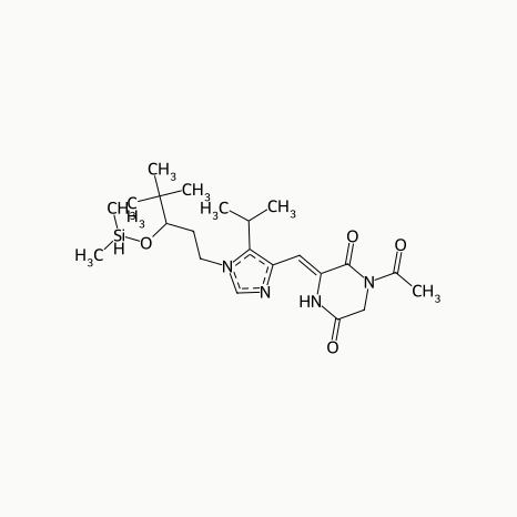 CC(=O)N1CC(=O)N/C(=C\c2ncn(CCC(O[SiH](C)C)C(C)(C)C)c2C(C)C)C1=O